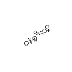 O=C(NCc1ccc(F)c(Cl)c1)c1cnn(-c2nc3ccccc3s2)c1